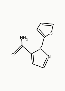 NC(=O)c1ccnn1-c1cccs1